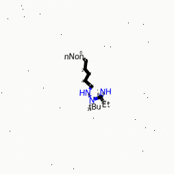 CCCCCCCCCCCCCCNN(C(=N)CC)C(C)(C)C